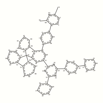 Cc1ccc(-c2ccc(-c3cc(-c4nc(-c5ccccc5)nc(-c5ccc(-c6ccccc6)cc5)n4)cc4c3-c3ccccc3C43c4ccccc4-c4ccccc43)cc2)c(C)n1